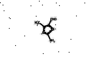 Cc1nc(N)sc1[C]=O